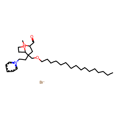 CCCCCCCCCCCCCCCCOCC(CC[n+]1ccccc1)(CC(C=O)OC)C1CCO1.[Br-]